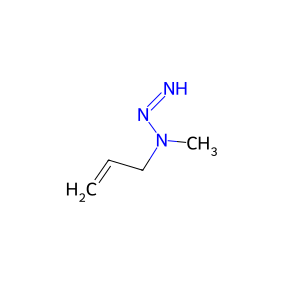 C=CCN(C)N=N